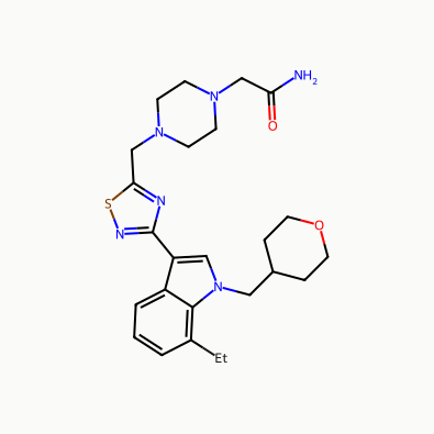 CCc1cccc2c(-c3nsc(CN4CCN(CC(N)=O)CC4)n3)cn(CC3CCOCC3)c12